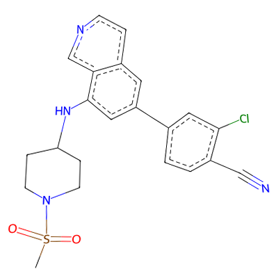 CS(=O)(=O)N1CCC(Nc2cc(-c3ccc(C#N)c(Cl)c3)cc3ccncc23)CC1